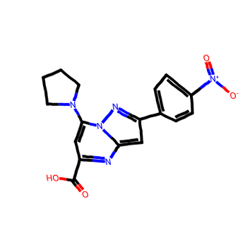 O=C(O)c1cc(N2CCCC2)n2nc(-c3ccc([N+](=O)[O-])cc3)cc2n1